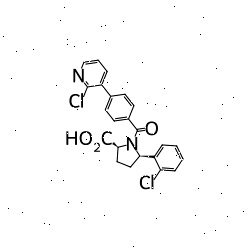 O=C(O)[C@@H]1CC[C@H](c2ccccc2Cl)N1C(=O)c1ccc(-c2cccnc2Cl)cc1